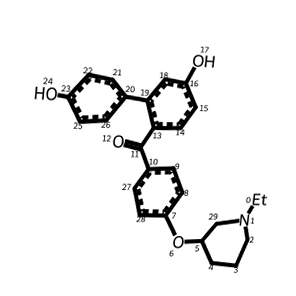 CCN1CCCC(Oc2ccc(C(=O)c3ccc(O)cc3-c3ccc(O)cc3)cc2)C1